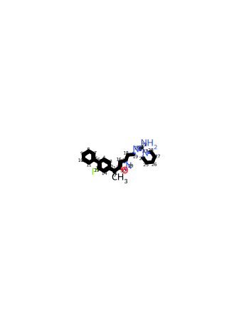 CC(c1ccc(-c2ccccc2)c(F)c1)c1cc(CC/N=C(/N)N2CCCCC2)no1